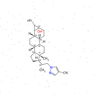 CCCC1C2[C@H]3CC[C@@H]4[C@H](CC[C@]5(C)[C@@H]([C@@H](C)Cn6cc(C#N)cn6)CC[C@@H]45)[C@H]3CC[C@]12O